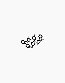 Cc1cc[n+](-[n+]2ccc(C(C)(C)C)cc2-c2cc3c(cc2C)C(C)(C)c2ccccc2-3)c(-c2cc3c4ccccc4c4ccccc4c3cc2C)c1